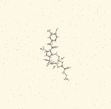 CCOC(=O)N1C[C@@H]2COc3c(cn(C)c3C(=O)Nc3ccc(F)c(Cl)c3)S(=O)(=O)N[C@@H]2C1